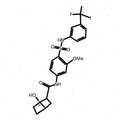 COc1cc(NC(=O)C2CC3CC[C@@]32O)ccc1S(=O)(=O)Nc1cccc(C(C)(F)I)c1